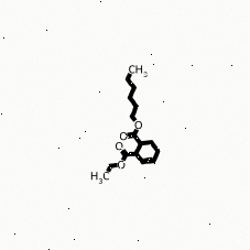 CCCCCCOC(=O)C1CCC=CC1C(=O)OCC